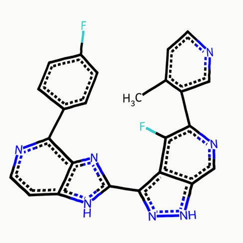 Cc1ccncc1-c1ncc2[nH]nc(-c3nc4c(-c5ccc(F)cc5)nccc4[nH]3)c2c1F